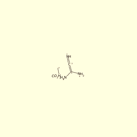 CC(=O)O.N=C=C(N)N